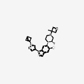 CC1(N2CC[C@H](c3cc4c(cnn4-c4cnn(C56CC(C5)C6)c4)cc3Cl)[C@H](F)C2)COC1